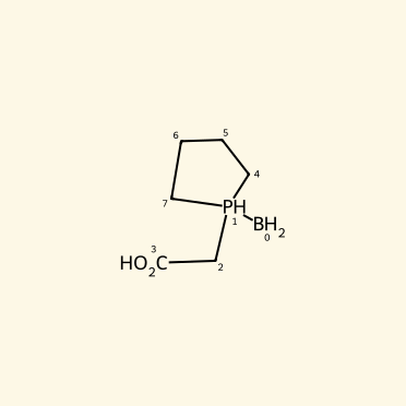 B[PH]1(CC(=O)O)CCCC1